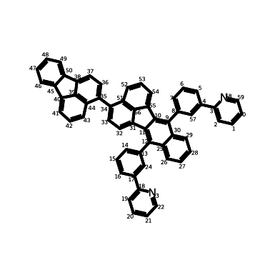 c1ccc(-c2cccc(-c3c4c(c(-c5cccc(-c6ccccn6)c5)c5ccccc35)-c3ccc(-c5ccc6c7c(cccc57)-c5ccccc5-6)c5cccc-4c35)c2)nc1